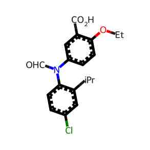 CCOc1ccc(N(C=O)c2ccc(Cl)cc2C(C)C)cc1C(=O)O